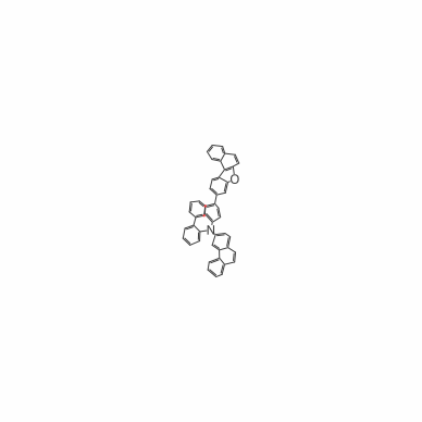 c1ccc(-c2ccccc2N(c2ccc(-c3ccc4c(c3)oc3ccc5ccccc5c34)cc2)c2ccc3ccc4ccccc4c3c2)cc1